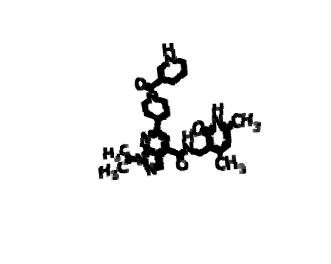 Cc1cc(C)c(CNC(=O)c2cc(C3CCN(C(=O)C4CCCNC4)CC3)nc3c2cnn3C(C)C)c(=O)[nH]1